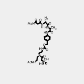 CNC(=O)CC(=O)NC(C)C(=O)NC(C)C(=O)Nc1ccc(COC(=O)NCCN(CCNC(C)=O)C(=O)CP(=O)(O)O)cc1